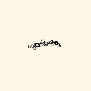 CC(C)Cc1ccc(C(C)C(=O)OCCOC(=O)NC[C@H]2CC[C@H](C(=O)O)CC2)cc1